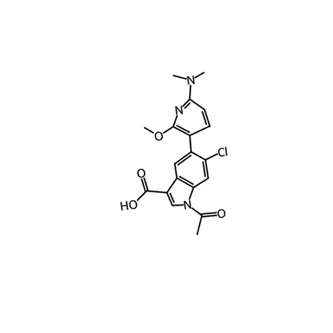 COc1nc(N(C)C)ccc1-c1cc2c(C(=O)O)cn(C(C)=O)c2cc1Cl